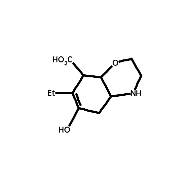 CCC1=C(O)CC2NCCOC2C1C(=O)O